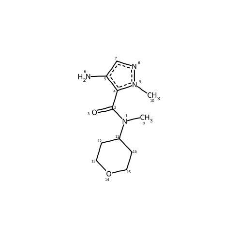 CN(C(=O)c1c(N)cnn1C)C1CCOCC1